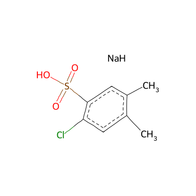 Cc1cc(Cl)c(S(=O)(=O)O)cc1C.[NaH]